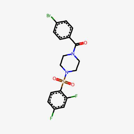 O=C(c1ccc(Br)cc1)N1CCN(S(=O)(=O)c2ccc(F)cc2F)CC1